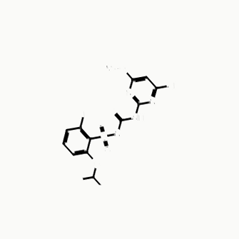 COc1cc(Cl)nc(NC(=O)NS(=O)(=O)c2c(I)cccc2OC(F)F)n1